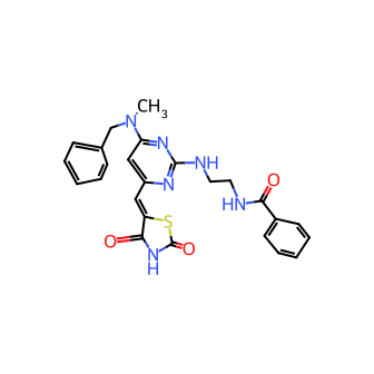 CN(Cc1ccccc1)c1cc(C=C2SC(=O)NC2=O)nc(NCCNC(=O)c2ccccc2)n1